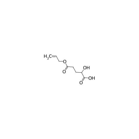 C=CCOC(=O)CCC(O)C(=O)O